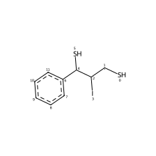 S[CH]C(I)C(S)c1ccccc1